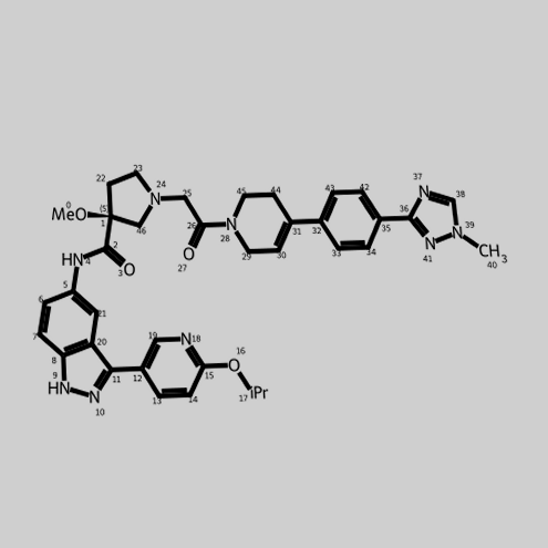 CO[C@@]1(C(=O)Nc2ccc3[nH]nc(-c4ccc(OC(C)C)nc4)c3c2)CCN(CC(=O)N2CC=C(c3ccc(-c4ncn(C)n4)cc3)CC2)C1